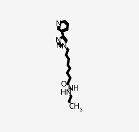 CCCNNC(=O)CCCCCCCn1cc(-c2cccnc2)nn1